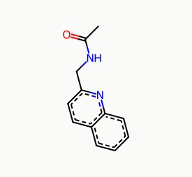 CC(=O)NCc1ccc2ccccc2n1